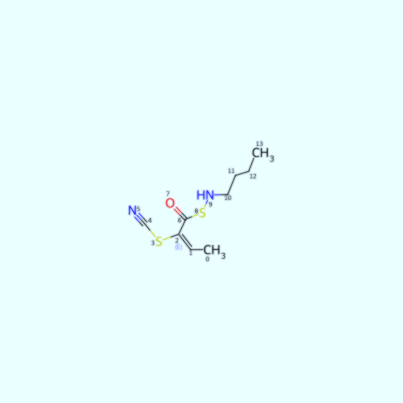 C/C=C(/SC#N)C(=O)SNCCCC